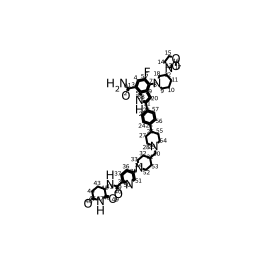 NC(=O)c1cc(F)c(N2CCC[C@@H](N3CCOO3)C2)c2cc(-c3ccc(C4CCN(CC5CCN(c6ccc(C(=O)N[C@H]7CCC(=O)NC7=O)nc6)CC5)CC4)cc3)[nH]c12